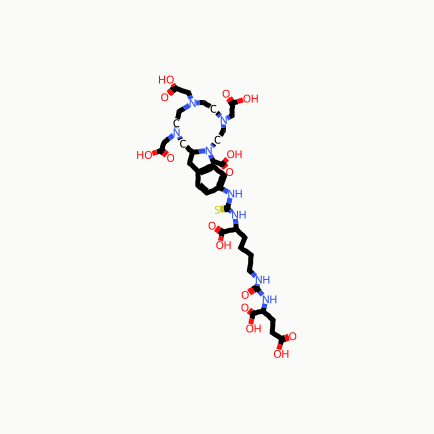 O=C(O)CCC(NC(=O)NCCCCC(NC(=S)Nc1ccc(CC2CN(CC(=O)O)CCN(CC(=O)O)CCN(CC(=O)O)CCN2CC(=O)O)cc1)C(=O)O)C(=O)O